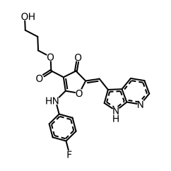 O=C(OCCCO)C1=C(Nc2ccc(F)cc2)OC(=Cc2c[nH]c3ncccc23)C1=O